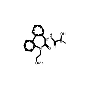 COCCN1C(=O)[C@@H](NC(=O)[C@H](C)O)c2ccccc2-c2ccccc21